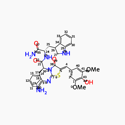 COc1cc(/C=C2\S/C(=N/c3ccccc3)N([C@@H](CCCN)C(=O)N[C@@H](CC3CNc4ccccc43)C(N)=O)C2=O)cc(OC)c1O